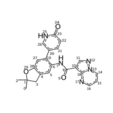 CC1(C)Cc2cc(NC(=O)c3cnn4cccnc34)c(-c3ccc(=O)[nH]c3)cc2O1